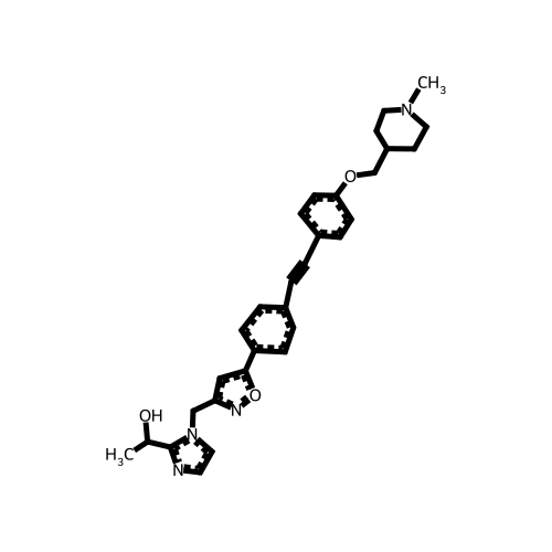 CC(O)c1nccn1Cc1cc(-c2ccc(C#Cc3ccc(OCC4CCN(C)CC4)cc3)cc2)on1